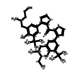 CN(CCO)Cc1cc(-c2ccsc2C(=O)c2sccc2-c2cc(CN(C)CCO)c(O)c(C(C)(C)C)c2)cc(C(C)(C)C)c1O